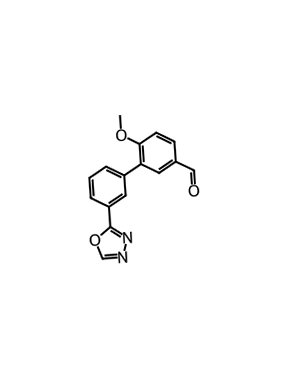 COc1ccc(C=O)cc1-c1cccc(-c2nnco2)c1